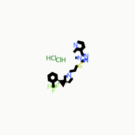 Cc1ncccc1-c1nnc(SCCCN2CC[C@]3(C[C@H]3c3ccccc3C(F)(F)F)C2)n1C.Cl.Cl